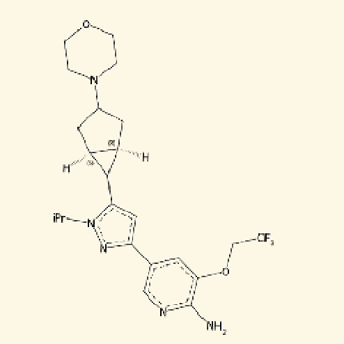 CC(C)n1nc(-c2cnc(N)c(OCC(F)(F)F)c2)cc1C1[C@H]2CC(N3CCOCC3)C[C@@H]12